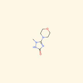 Cn1[nH]c(=O)nc1N1CCOCC1